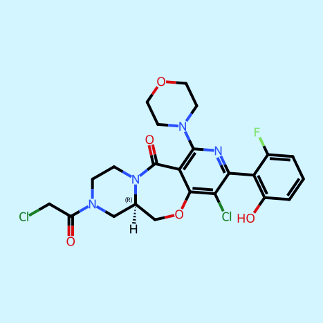 O=C(CCl)N1CCN2C(=O)c3c(N4CCOCC4)nc(-c4c(O)cccc4F)c(Cl)c3OC[C@H]2C1